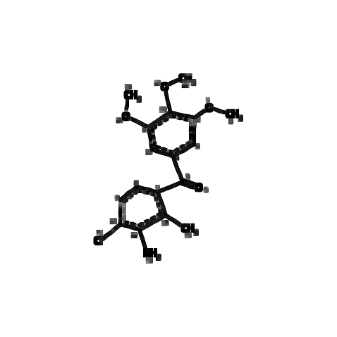 COc1cc(C(=O)c2ccc(Cl)c(N)c2C)cc(OC)c1OC